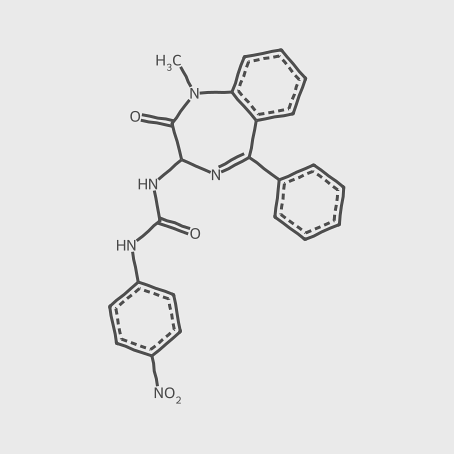 CN1C(=O)C(NC(=O)Nc2ccc([N+](=O)[O-])cc2)N=C(c2ccccc2)c2ccccc21